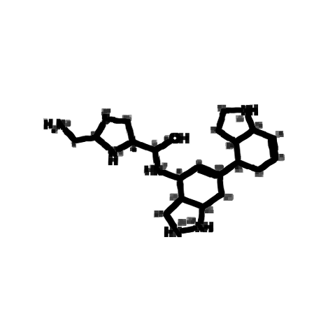 NCC1NC(C(O)NC2C=C(C3CC=CC4NCCC43)CC3NNCC23)CS1